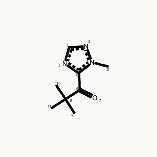 Cn1ncnc1C(=O)C(C)(C)C